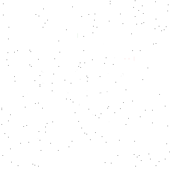 OB(O)OC12CCC(C1)C(c1cccc(F)c1)C2(c1cccc(F)c1)c1cccc(F)c1